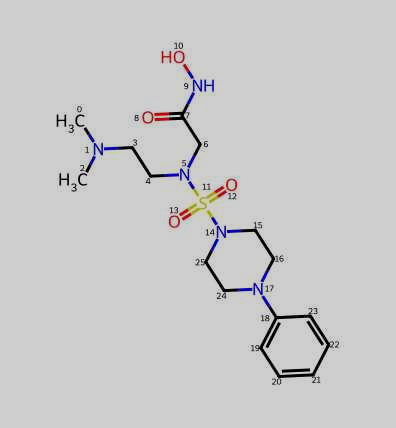 CN(C)CCN(CC(=O)NO)S(=O)(=O)N1CCN(c2ccccc2)CC1